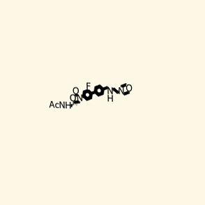 CC(=O)NC[C@H]1CN(c2ccc(-c3ccc(CNCCN4CCOCC4)cc3)c(F)c2)C(=O)O1